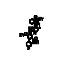 Cc1cnc(Nc2cc3c(=O)[nH]c4c(c3cc2OC(C)C)CCN(C)C4)nc1Nc1ccccc1S(=O)(=O)C(C)C